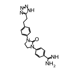 N=C(N)c1ccc(N2CCN(c3ccc(CCc4nnn[nH]4)cc3)C2=O)cc1